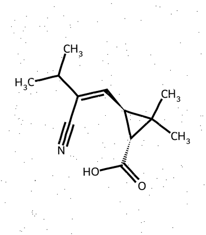 CC(C)/C(C#N)=C/[C@@H]1[C@@H](C(=O)O)C1(C)C